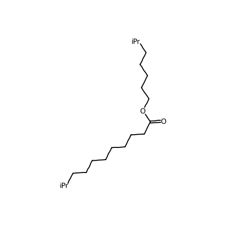 CC(C)CCCCCCCCC(=O)OCCCCCC(C)C